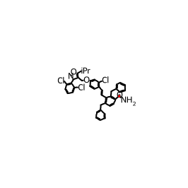 CC(C)c1onc(-c2c(Cl)cccc2Cl)c1COc1ccc(C=Cc2c(Cc3ccccc3)ccc(C(N)=O)c2Cc2ccccc2)c(Cl)c1